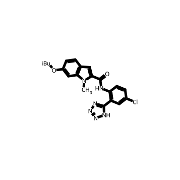 CCC(C)Oc1ccc2cc(C(=O)Nc3ccc(Cl)cc3-c3nnn[nH]3)n(C)c2c1